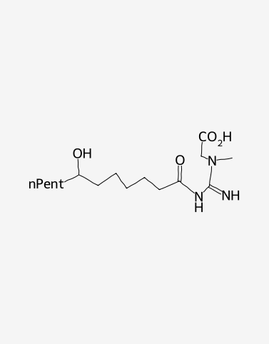 CCCCCC(O)CCCCCC(=O)NC(=N)N(C)CC(=O)O